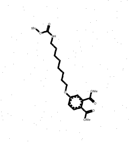 COC(=O)c1ccc(OCCCCCCCCNC(=O)OC(C)(C)C)cc1C(=O)OC